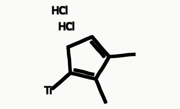 CC1=CC[C]([Ti])=C1C.Cl.Cl